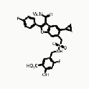 CNC(=O)c1c(-c2ccc(F)cc2)oc2cc(CS(=O)(=O)NCc3cc(C(=O)O)c(O)cc3F)c(C3CC3)cc12